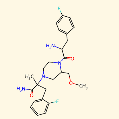 COCC1CN(C(C)(Cc2ccccc2F)C(N)=O)CCN1C(=O)C(N)Cc1ccc(F)cc1